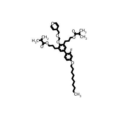 C=C(C)C(=O)OCCCc1cc(-c2ccc(OCCCCCCCCCC)cc2F)cc(CCCOC(=O)C(=C)C)c1OCOCC1C=COC=C1